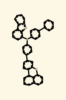 c1ccc(-c2ccc(N(c3ccc(-c4ccc5c(c4)Oc4cccc6cccc-5c46)cc3)c3cccc4c3oc3ccccc34)cc2)cc1